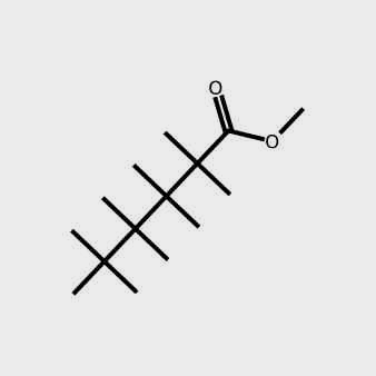 COC(=O)C(C)(C)C(C)(C)C(C)(C)C(C)(C)C